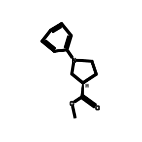 COC(=O)[C@@H]1CCN(c2ccccc2)C1